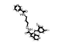 O=C(NCCCONC(=O)c1cc2ccncc2n1Cc1ccc(I)cc1F)c1cnccn1